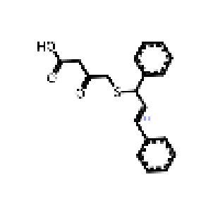 O=C(O)CC(=O)CSC(/C=C/c1ccccc1)c1ccccc1